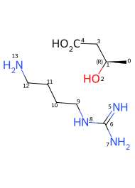 C[C@@H](O)CC(=O)O.N=C(N)NCCCCN